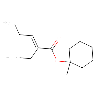 CC1(OC(=O)C(=CCC(=O)O)CC(=O)O)CCCCC1